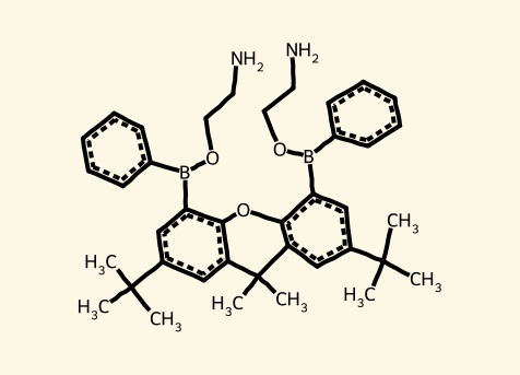 CC(C)(C)c1cc(B(OCCN)c2ccccc2)c2c(c1)C(C)(C)c1cc(C(C)(C)C)cc(B(OCCN)c3ccccc3)c1O2